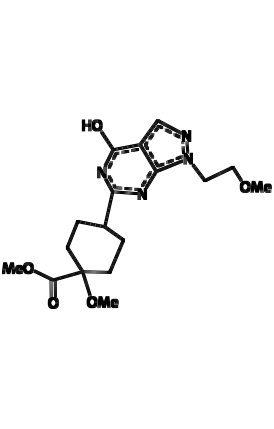 COCCn1ncc2c(O)nc(C3CCC(OC)(C(=O)OC)CC3)nc21